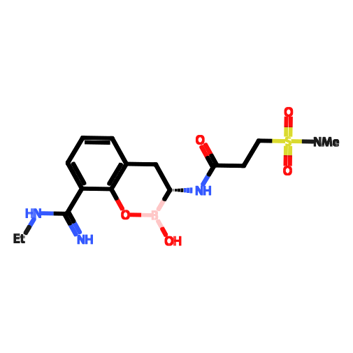 CCNC(=N)c1cccc2c1OB(O)[C@@H](NC(=O)CCS(=O)(=O)NC)C2